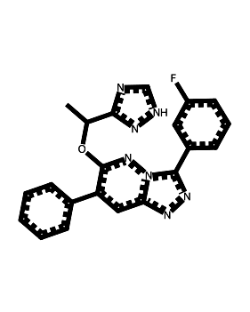 CC(Oc1nn2c(-c3cccc(F)c3)nnc2cc1-c1ccccc1)c1nc[nH]n1